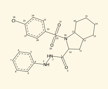 O=C(NNc1ccccc1)C1CC2CCCCC2N1S(=O)(=O)c1ccc(Cl)cc1